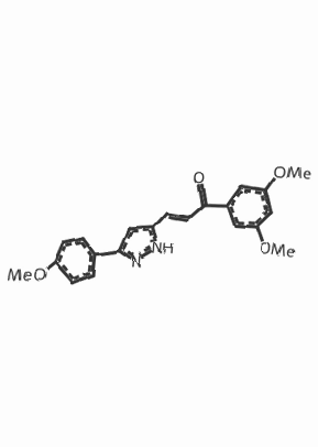 COc1ccc(-c2cc(/C=C/C(=O)c3cc(OC)cc(OC)c3)[nH]n2)cc1